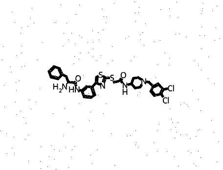 N[C@H](Cc1ccccc1)C(=O)Nc1cccc(-c2csc(SCC(=O)NC3CCN(Cc4ccc(Cl)c(Cl)c4)CC3)n2)c1